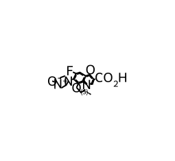 C[C@H]1COc2c(N3CC[N+](C)([O-])CC3)c(F)cc3c(=O)c(C(=O)O)cn1c23